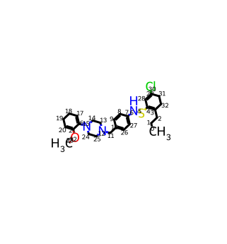 CCCC1=C(SNc2ccc(CN3CCN(C4=CCCC=C4OC)CC3)cc2)C=C(Cl)CC1